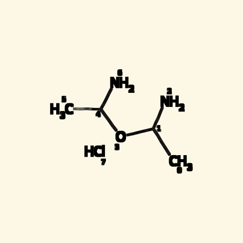 CC(N)OC(C)N.Cl